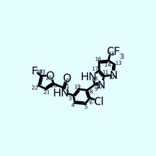 O=C(Nc1ccc(Cl)c(-c2nc3ncc(C(F)(F)F)cc3[nH]2)c1)c1ccc(F)o1